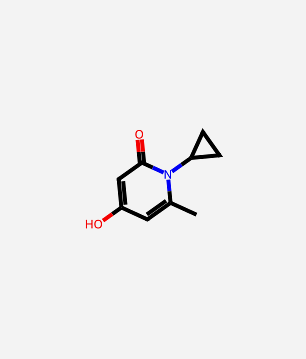 Cc1cc(O)cc(=O)n1C1CC1